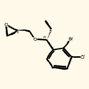 CC[C@@H](OC[C@H]1CO1)c1cccc(Cl)c1Br